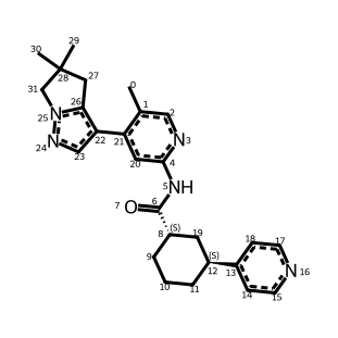 Cc1cnc(NC(=O)[C@H]2CCC[C@H](c3ccncc3)C2)cc1-c1cnn2c1CC(C)(C)C2